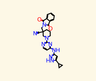 N#CC1(CN2C(=O)c3ccccc3C2=O)CCCN(c2nccc(Nc3cc(C4CC4)[nH]n3)n2)C1